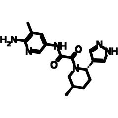 Cc1cc(NC(=O)C(=O)N2C[C@H](C)CC[C@H]2c2cn[nH]c2)cnc1N